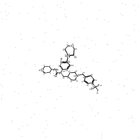 O=C(NC1CCOCC1)N(CC1CCN(Cc2ccc(C(F)(F)F)cc2)CC1)c1ccc(N2CCOCC2)nc1